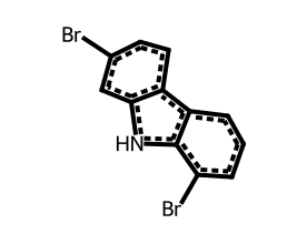 Brc1ccc2c(c1)[nH]c1c(Br)cccc12